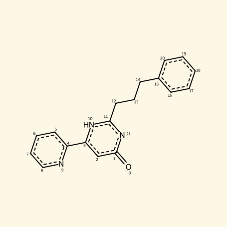 O=c1cc(-c2ccccn2)[nH]c(CCCc2ccccc2)n1